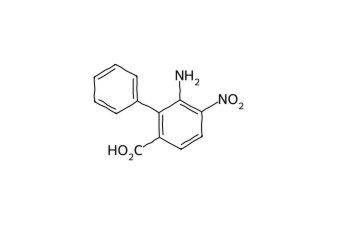 Nc1c([N+](=O)[O-])ccc(C(=O)O)c1-c1ccccc1